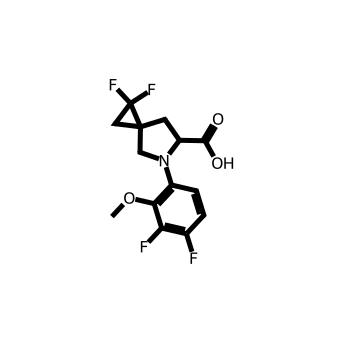 COc1c(N2CC3(CC2C(=O)O)CC3(F)F)ccc(F)c1F